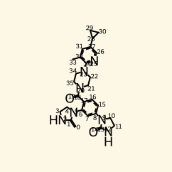 C=C1NCCN1c1cc(N2CCNC2=O)ccc1C(=O)N1CCN(c2ncc(C3CC3)cc2C)CC1